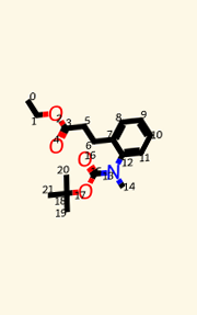 CCOC(=O)CCc1ccccc1N(C)C(=O)OC(C)(C)C